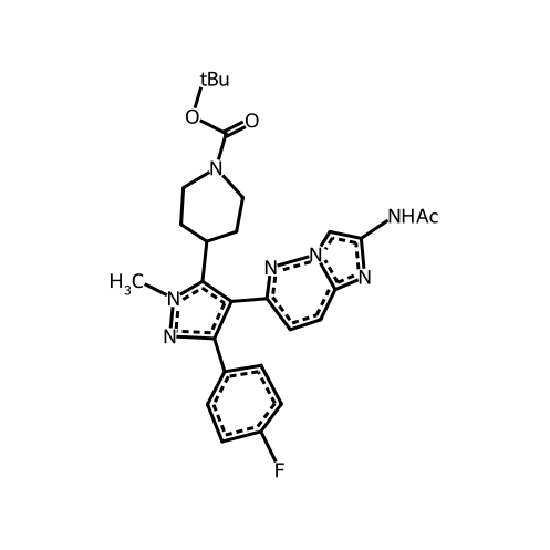 CC(=O)Nc1cn2nc(-c3c(-c4ccc(F)cc4)nn(C)c3C3CCN(C(=O)OC(C)(C)C)CC3)ccc2n1